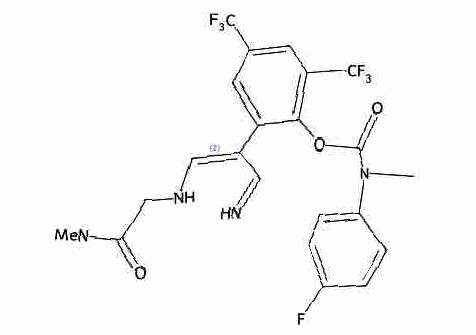 CNC(=O)CN/C=C(\C=N)c1cc(C(F)(F)F)cc(C(F)(F)F)c1OC(=O)N(C)c1ccc(F)cc1